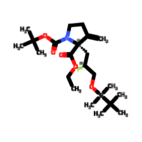 C=C1CCN(C(=O)OC(C)(C)C)[C@]1(C[C@@H](F)CO[Si](C)(C)C(C)(C)C)C(=O)OCC